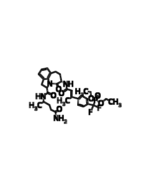 CCOP(=O)(OCC)C(F)(F)c1ccc(/C(C)=C/C(=O)N[C@H]2CCc3cccc4c3N(C2=O)C(C(=O)NC(C)CCC(N)=O)C4)cc1